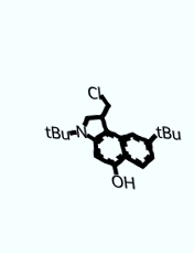 CC(C)(C)c1ccc2c(O)cc3c(c2c1)C(CCl)CN3C(C)(C)C